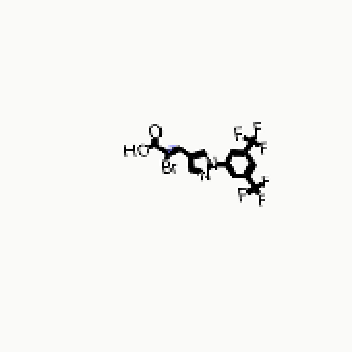 O=C(O)/C(Br)=C/c1cnn(-c2cc(C(F)(F)F)cc(C(F)(F)F)c2)c1